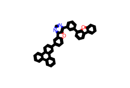 c1cc(-c2cccc3c2oc2ccccc23)cc(-c2ncnc3c2oc2ccc(-c4ccc5c6ccccc6c6ccccc6c5c4)cc23)c1